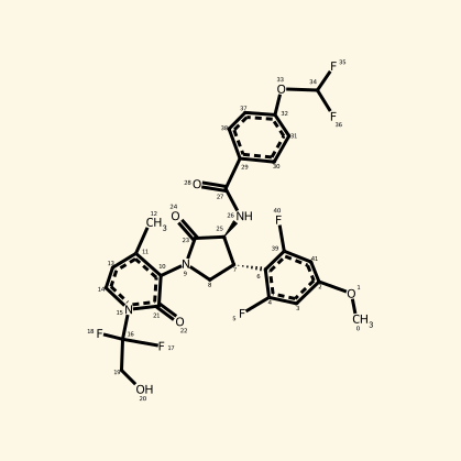 COc1cc(F)c([C@@H]2CN(c3c(C)ccn(C(F)(F)CO)c3=O)C(=O)[C@H]2NC(=O)c2ccc(OC(F)F)cc2)c(F)c1